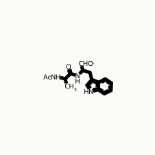 CC(=O)NC(C)C(=O)NC([C]=O)Cc1c[nH]c2ccccc12